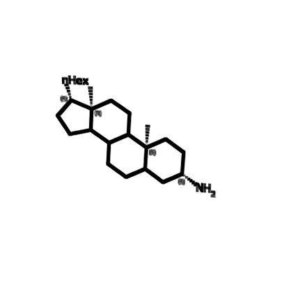 CCCCCC[C@H]1CCC2C3CCC4C[C@@H](N)CC[C@]4(C)C3CC[C@@]21C